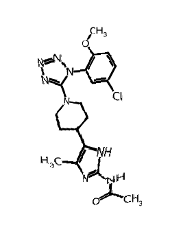 COc1ccc(Cl)cc1-n1nnnc1N1CCC(c2[nH]c(NC(C)=O)nc2C)CC1